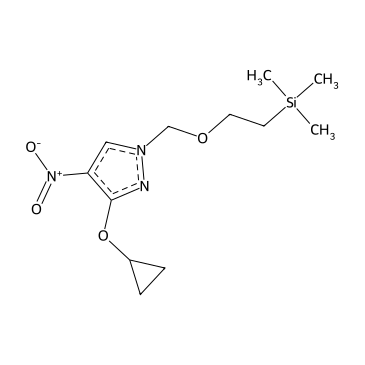 C[Si](C)(C)CCOCn1cc([N+](=O)[O-])c(OC2CC2)n1